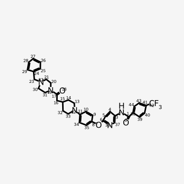 O=C(Nc1ccc(Oc2ccc(N3CCC(CC(=O)N4CCN(Cc5ccccc5)CC4)CC3)cc2)nc1)c1ccc(C(F)(F)F)cc1